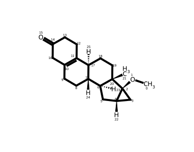 CO[C@@]12C[C@@H]1C[C@H]1[C@@H]3CCC4=C(CCC(=O)C4)[C@H]3CC[C@@]12C